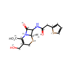 O=C(Cc1cccs1)NC1C(=O)N2C(C(=O)O)=C(CO)CS[C@H]12